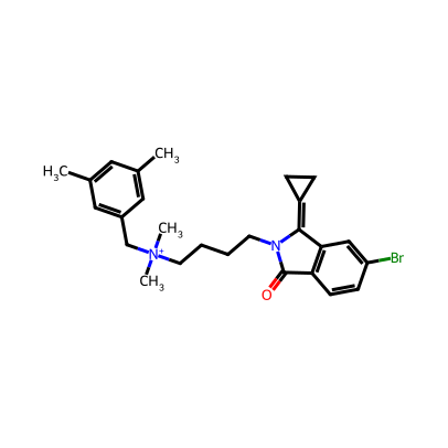 Cc1cc(C)cc(C[N+](C)(C)CCCCN2C(=O)c3ccc(Br)cc3C2=C2CC2)c1